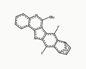 CC(C)(C)c1nc2ccccc2c2nc3c(F)c4c5ccc(o5)c4c(F)c3n12